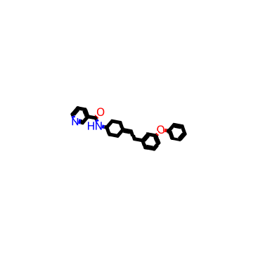 O=C(NC1CCC(=CCc2cccc(Oc3ccccc3)c2)CC1)c1cccnc1